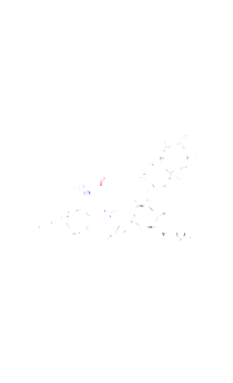 COc1cc(C(=O)N2CC(=O)Nc3cc(C(C)=O)ccc32)cc(-c2ccc3ccccc3c2)c1